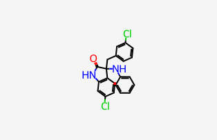 O=C1Nc2cc(Cl)ccc2C1(Cc1cccc(Cl)c1)Nc1ccccc1